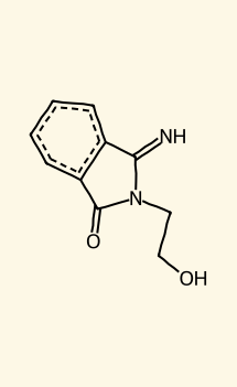 N=C1c2ccccc2C(=O)N1CCO